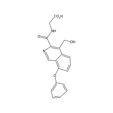 O=C(O)CNC(=O)c1ncc2c(Oc3ccccc3)cccc2c1CO